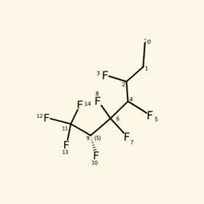 [CH2]CC(F)C(F)C(F)(F)[C@H](F)C(F)(F)F